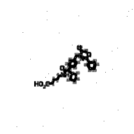 O=C(O)CCCCNC(=O)C(c1ccc(CN2N=C(c3ccccc3)OCC2=O)cc1)C1CCCC1